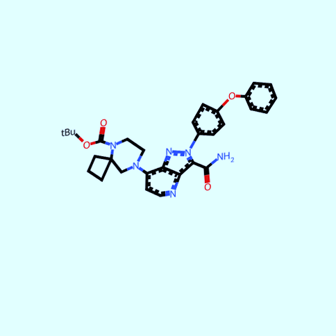 CC(C)(C)OC(=O)N1CCN(c2ccnc3c(C(N)=O)n(-c4ccc(Oc5ccccc5)cc4)nc23)CC12CCC2